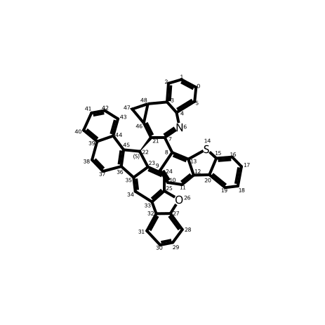 c1ccc2c(c1)N=C(c1cccc3c1sc1ccccc13)C([C@H]1c3cc4oc5ccccc5c4cc3-c3ccc4ccccc4c31)=C1CC12